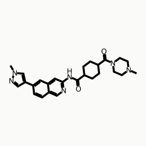 CN1CCN(C(=O)C2CCC(C(=O)Nc3cc4cc(-c5cnn(C)c5)ccc4cn3)CC2)CC1